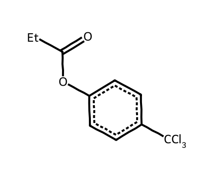 CCC(=O)Oc1ccc(C(Cl)(Cl)Cl)cc1